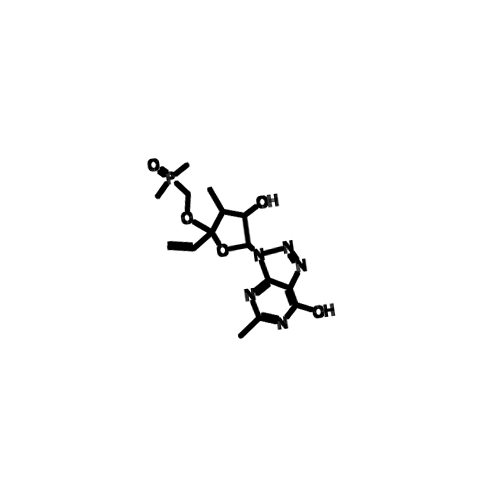 C=CC1(OCP(C)(C)=O)OC(n2nnc3c(O)nc(C)nc32)C(O)C1C